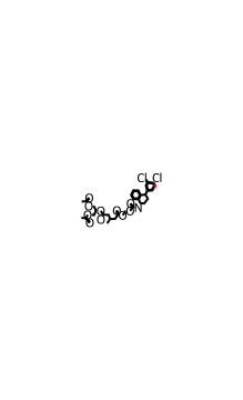 CC(=O)OCC(COC(C)=O)OC(=O)CC(C)CC(=O)OCOC(=O)N(C)C1CCC(c2ccc(Cl)c(Cl)c2)c2ccccc21